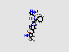 CCn1nccc1C(=O)N[C@H](c1cn2ncc(CC3C[C@@H](C(F)(F)F)NC3=O)cc2n1)C1CCCCCC1